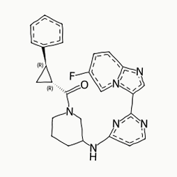 O=C([C@@H]1C[C@H]1c1ccccc1)N1CCCC(Nc2ccnc(-c3cnc4ccc(F)cn34)n2)C1